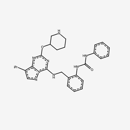 CC(C)c1cnn2c(NCc3ccccc3NC(=O)Nc3ccccc3)nc(OC3CCCNC3)nc12